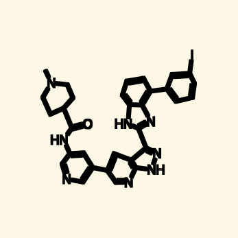 CN1CCC(C(=O)Nc2cncc(-c3cnc4[nH]nc(-c5nc6c(-c7cccc(I)c7)cccc6[nH]5)c4c3)c2)CC1